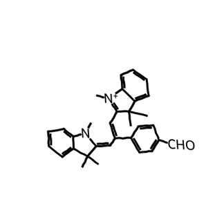 CN1/C(=C\C(=C\C2=[N+](C)c3ccccc3C2(C)C)c2ccc(C=O)cc2)C(C)(C)c2ccccc21